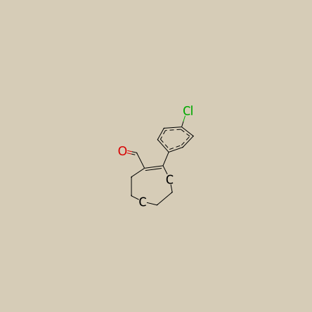 O=CC1=C(c2ccc(Cl)cc2)CCCCCC1